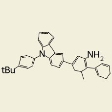 CC1CC(c2ccc3c(c2)c2ccccc2n3-c2ccc(C(C)(C)C)cc2)=CC(N)=C1C1=CCCC=C1